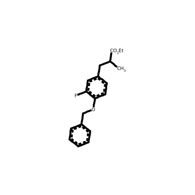 CCOC(=O)C(C)Cc1ccc(OCc2ccccc2)c(F)c1